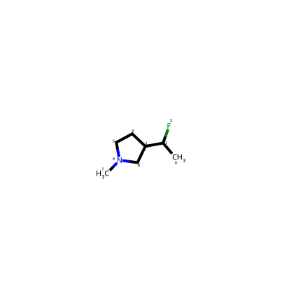 CC(F)C1CCN(C)C1